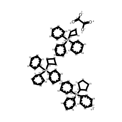 O=C([O-])C(=O)[O-].[I-].c1ccc([P+](c2ccccc2)(c2ccccc2)C2CCC2)cc1.c1ccc([P+](c2ccccc2)(c2ccccc2)C2CCC2)cc1.c1ccc([P+](c2ccccc2)(c2ccccc2)C2CCCC2)cc1